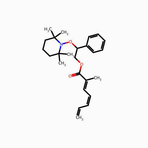 C=C/C=C\C=C(/C)C(=O)OCC(ON1C(C)(C)CCCC1(C)C)c1ccccc1